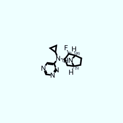 F[C@@H]1[C@H]2CC[C@@H](C[C@@H]1N(c1cncnn1)C1CC1)N2